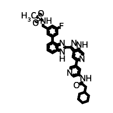 CS(=O)(=O)NCc1cc(F)cc(-c2cccc3[nH]c(-c4n[nH]c5cnc(-c6cncc(NC(=O)CC7CCCCC7)c6)cc45)nc23)c1